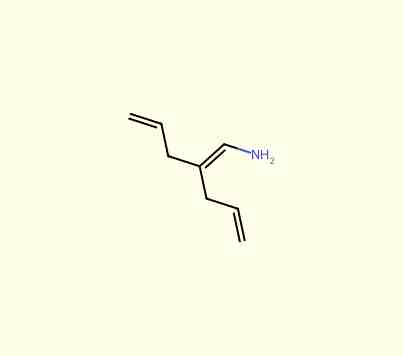 C=CCC(=CN)CC=C